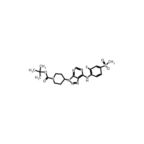 CC(C)(C)OC(=O)N1CCC(n2nnc3c(Nc4ccc(S(C)(=O)=O)cc4F)ncnc32)CC1